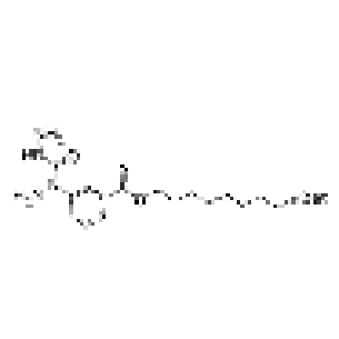 CCCCCCCCCCCCCCCCCCOC(=S)c1cccc(N(N)C(=O)NN)c1